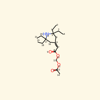 CCC1(CC)CC(=CC(=O)OCOC(C)=O)CC(CC)(CC)N1